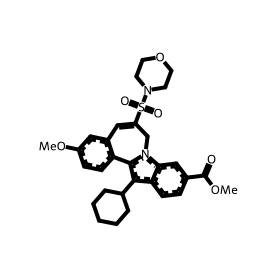 COC(=O)c1ccc2c(C3CCCCC3)c3n(c2c1)CC(S(=O)(=O)N1CCOCC1)=Cc1cc(OC)ccc1-3